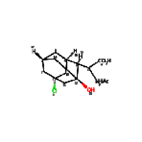 CC(=O)NC(C(=O)O)[C@@H]1[C@@H]2C[C@H]3C[C@@](Cl)(C2)C[C@]1(O)C3